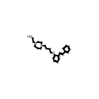 OCCN1CCCN(CCCCOc2ccccc2/C=C/c2ccccc2)CC1